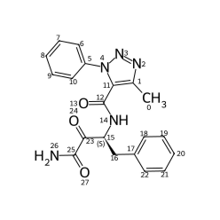 Cc1nnn(-c2ccccc2)c1C(=O)N[C@@H](Cc1ccccc1)C(=O)C(N)=O